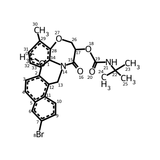 COc1ccc2cc(Br)ccc2c1CN1C(=O)C(OC(=O)NC(C)(C)C)COc2c(C)cccc21